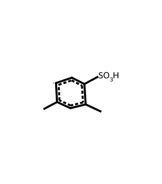 Cc1[c]cc(S(=O)(=O)O)c(C)c1